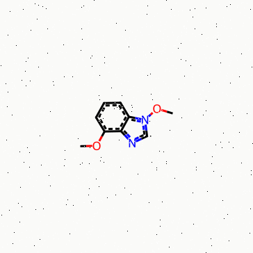 COc1cccc2c1n[c]n2OC